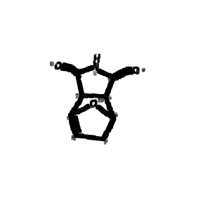 O=C1NC(=O)C2C3CC=C(O3)C12